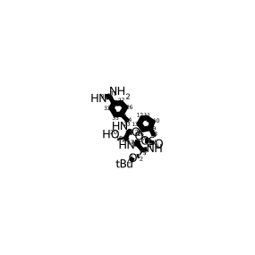 CC(C)(C)OC[C@@H](NS(=O)(=O)Cc1ccccc1)C(=O)N[C@@H](CO)C(=O)NCc1ccc(C(=N)N)cc1